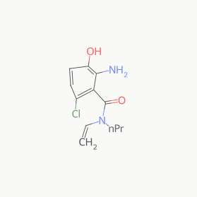 C=CN(CCC)C(=O)c1c(Cl)ccc(O)c1N